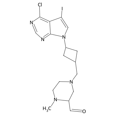 CN1CCN(CC2CC(n3cc(I)c4c(Cl)ncnc43)C2)CC1C=O